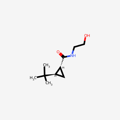 CC(C)(C)[C@@H]1C[C@H]1C(=O)NCCO